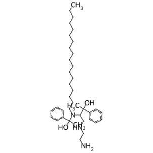 CCCCCCCCCCCCCCCCCCN(C(CNCCN)C(C)(O)c1ccccc1)C(C)(O)c1ccccc1